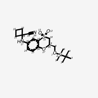 CC(C)(C)[Si](C)(C)OC[C@@H]1CS(=O)(=O)c2cc(NC3(C#N)CCC3)ccc2O1